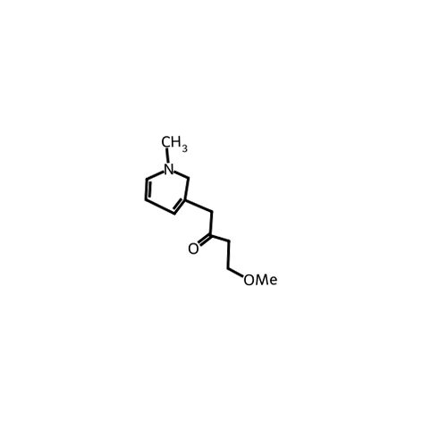 COCCC(=O)CC1=CC=CN(C)C1